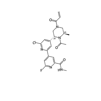 C=CC(=O)N1C[C@@H](C)N(C(C)=O)[C@H](c2cc(Cl)nc(-c3cc(F)nc(C(=O)NC)c3)c2)C1